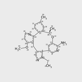 CCn1ncc2c1-c1cnc(N)c(c1)O[C@H](C)c1cc(C)ccc1-c1nccc(OC)c1C2